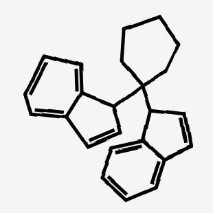 C1=CC(C2(C3C=Cc4ccccc43)CCCCC2)c2ccccc21